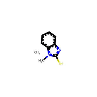 C.Cn1c(S)nc2ccccc21